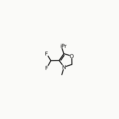 CC(C)C1=C(C(F)F)N(C)CO1